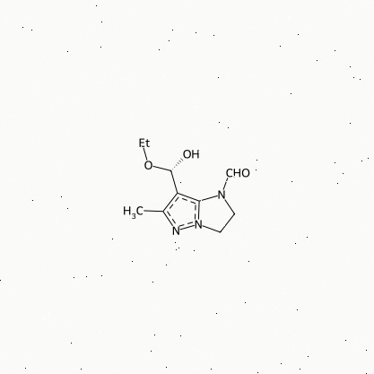 CCO[C@H](O)c1c(C)nn2c1N(C=O)CC2